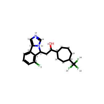 OC(CC1c2c(F)cccc2-c2cncn21)C1CCCC(C(F)(F)F)CC1